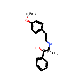 CCC[C@@H](C)Oc1ccc(CCN[C@H](C)[C@H](O)c2ccccc2)cc1